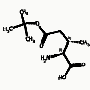 C[C@@H](CC(=O)OC(C)(C)C)[C@H](N)C(=O)O